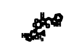 CC(C1CC1)N(Cc1ncc[nH]1)C(=O)CN1C(=O)NC(Cc2c[nH]c3ccccc23)C1=O